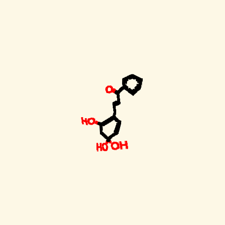 O=C(/C=C/C1=C(O)CC(O)(O)C=C1)c1ccccc1